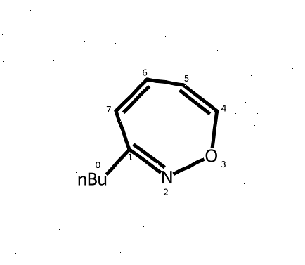 CCCCC1=NOC=CC=C1